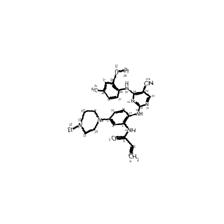 C=CC(=O)Nc1cc(N2CCN(CC)CC2)ccc1Nc1ncc(C#N)c(Nc2ccc(O)cc2OC(C)C)n1